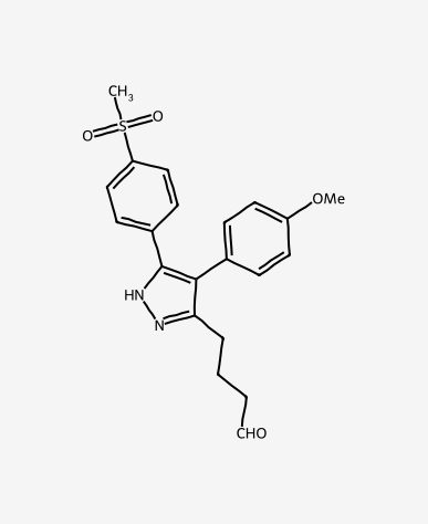 COc1ccc(-c2c(CCCC=O)n[nH]c2-c2ccc(S(C)(=O)=O)cc2)cc1